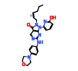 CCC/C=C\Cn1c(=O)c2cnc(Nc3ccc(N4CCOCC4)cc3)nc2n1-c1cccc(O)n1